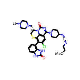 CCN1CCN(C[C@H]2CSc3c(-c4cccc5[nH]c(=O)[nH]c45)c(Cl)cc4c(N5CCC(N=C=NCCOC)CC5)nc(=O)n2c34)CC1